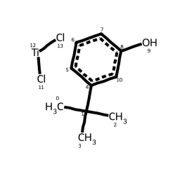 CC(C)(C)c1cccc(O)c1.[Cl][Ti][Cl]